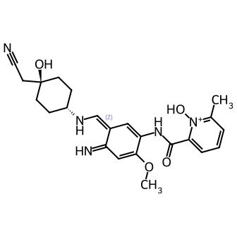 COC1=CC(=N)/C(=C\N[C@H]2CC[C@@](O)(CC#N)CC2)C=C1NC(=O)c1cccc(C)[n+]1O